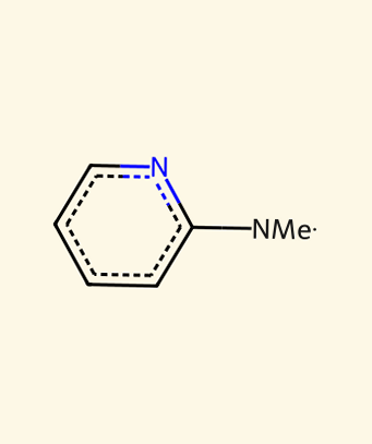 C[N]c1ccccn1